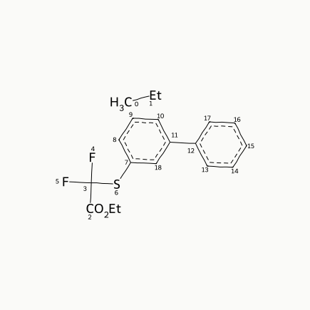 CCC.CCOC(=O)C(F)(F)Sc1cccc(-c2ccccc2)c1